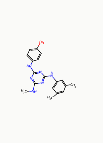 CNc1nc(Nc2ccc(O)cc2)nc(Nc2cc(C)cc(C)c2)n1